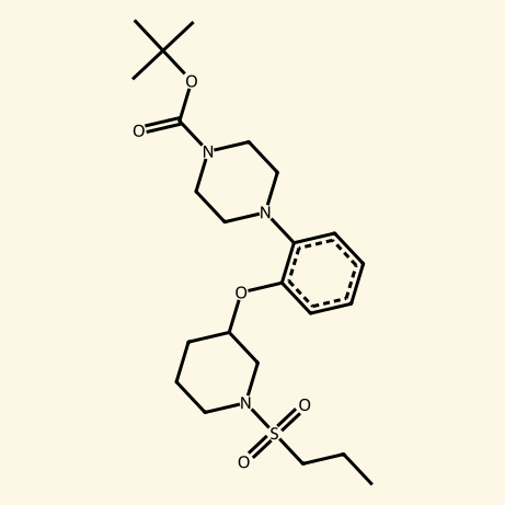 CCCS(=O)(=O)N1CCCC(Oc2ccccc2N2CCN(C(=O)OC(C)(C)C)CC2)C1